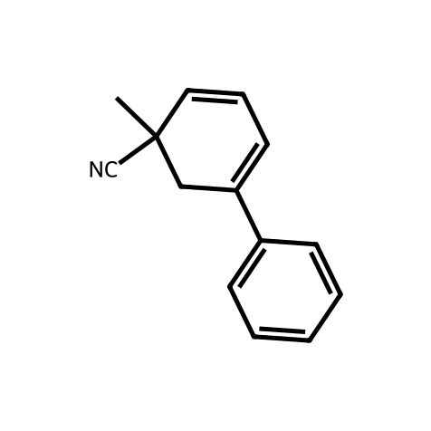 CC1(C#N)C=CC=C(c2ccccc2)C1